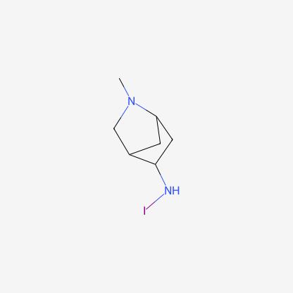 CN1CC2CC1CC2NI